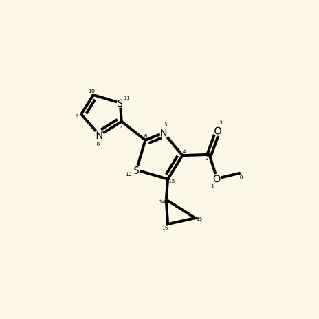 COC(=O)c1nc(-c2nccs2)sc1C1CC1